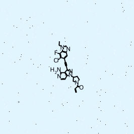 C=CC(=O)N1CCC(n2nc(C#Cc3cc4ncn(CC)c4c(F)c3Cl)c3c(N)nccc32)C1